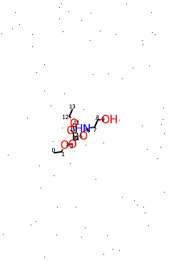 CCOOB(ONCCO)OOCC